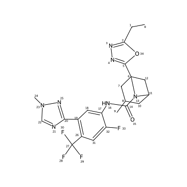 CCc1nnc(C23CC(C)CC(C2)N3C(=O)Nc2cc(-c3ncn(C)n3)c(C(F)(F)F)cc2F)o1